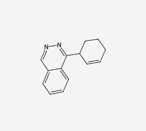 C1=CC(c2nncc3ccccc23)CCC1